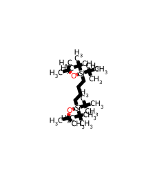 CC(C)O[Si](CCCC[Si](OC(C)C)(C(C)(C)C)C(C)(C)C)(C(C)(C)C)C(C)(C)C